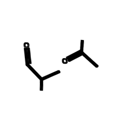 CC(C)=O.CC(C)C=O